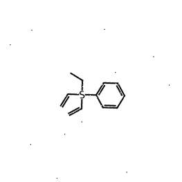 C=CS(C=C)(CC)c1ccccc1